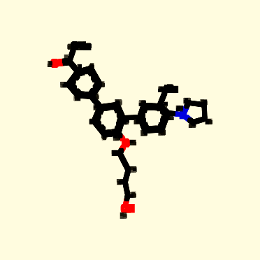 COC(=O)c1ccc(-c2ccc(OCCCCO)c(-c3ccc(N4CCCC4)c(C(C)(C)C)c3)c2)cc1